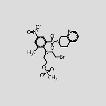 Cc1cc([N+](=O)[O-])cc(S(=O)(=O)N2CCc3cccnc3C2)c1N(CCBr)CCOS(C)(=O)=O